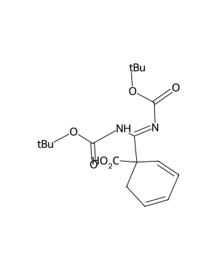 CC(C)(C)OC(=O)N=C(NC(=O)OC(C)(C)C)C1(C(=O)O)C=CC=CC1